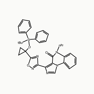 CCCn1c(=O)c2c(-c3noc(C4(O[Si](c5ccccc5)(c5ccccc5)C(C)(C)C)CC4)n3)ncn2c2ccccc21